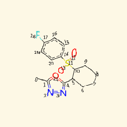 Cc1nnc(C2CCCCC2S(=O)(=O)c2ccc(F)cc2)o1